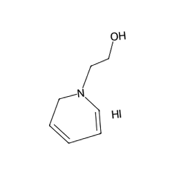 I.OCCN1C=CC=CC1